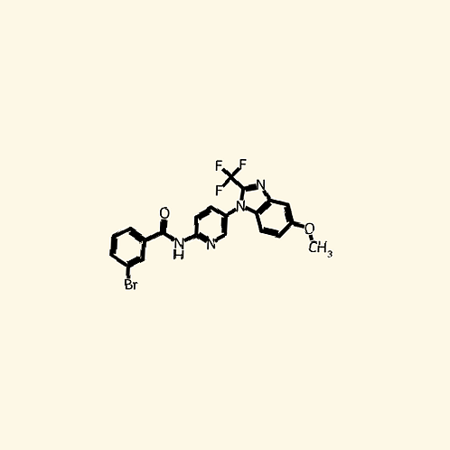 COc1ccc2c(c1)nc(C(F)(F)F)n2-c1ccc(NC(=O)c2cccc(Br)c2)nc1